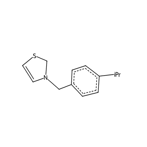 CC(C)c1ccc(CN2C=CSC2)cc1